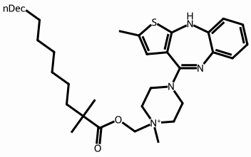 CCCCCCCCCCCCCCCCC(C)(C)C(=O)OC[N+]1(C)CCN(C2=Nc3ccccc3Nc3sc(C)cc32)CC1